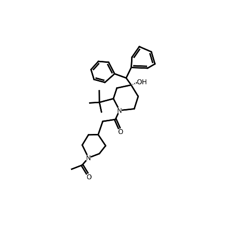 CC(=O)N1CCC(CC(=O)N2CC[C@](O)(C(c3ccccc3)c3ccccc3)CC2C(C)(C)C)CC1